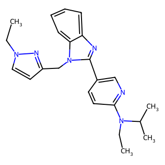 CCN(c1ccc(-c2nc3ccccc3n2Cc2ccn(CC)n2)cn1)C(C)C